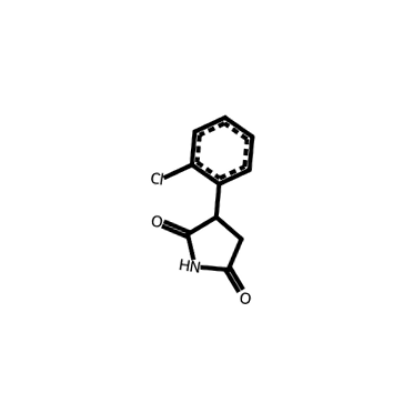 O=C1CC(c2ccccc2Cl)C(=O)N1